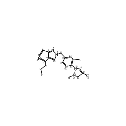 CCCc1nccc2nn(Cc3cnc(N4C=C(Cl)CN4C)c(C)c3)cc12